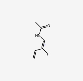 C=C/C(F)=C\NC(C)=O